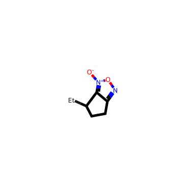 CCC1CCc2no[n+]([O-])c21